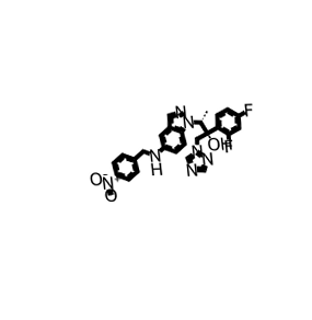 C[C@@H](n1ncc2cc(NCc3ccc([N+](=O)[O-])cc3)ccc21)[C@](O)(Cn1cncn1)c1ccc(F)cc1F